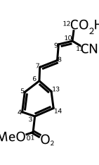 COC(=O)c1ccc(/C=C/C=C(\C#N)C(=O)O)cc1